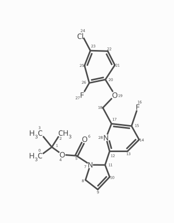 CC(C)(C)OC(=O)N1CC=CC1c1ccc(F)c(COc2ccc(Cl)cc2F)n1